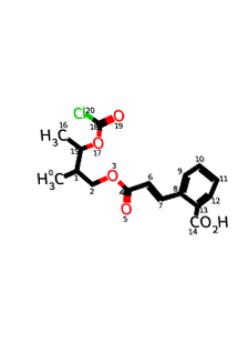 CC(COC(=O)/C=C/c1ccccc1C(=O)O)C(C)OC(=O)Cl